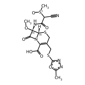 CO[C@@]1(NC(=O)C(C#N)[S+](C)[O-])C(=O)N2C(C(=O)O)=C(CSc3nnc(C)o3)CS[C@H]21